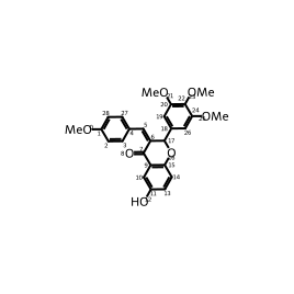 COc1ccc(C=C2C(=O)c3cc(O)ccc3OC2c2cc(OC)c(OC)c(OC)c2)cc1